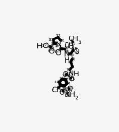 CCOC(=O)[C@H](CCCCNS(=O)(=O)c1ccc(Cl)c(S(N)(=O)=O)c1)N[C@@H](C)C(=O)N1CCC[C@H]1C(=O)O